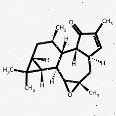 CC1=C[C@H]2C[C@]3(C)OC3[C@@H]3[C@@H]([C@@H]2C1=O)[C@H](C)C[C@@H]1[C@H]3C1(C)C